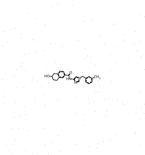 Cc1cccc(Cn2cnc(NC(=O)c3ccc4c(c3)CCC(O)C4)c2)c1